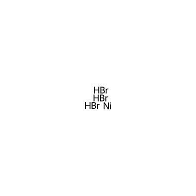 Br.Br.Br.[Ni]